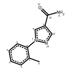 Cc1ccccc1-n1cc(C(N)=O)cn1